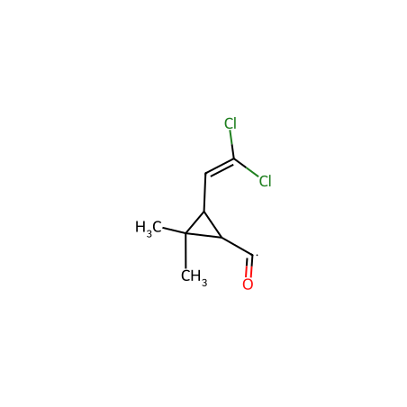 CC1(C)C([C]=O)C1C=C(Cl)Cl